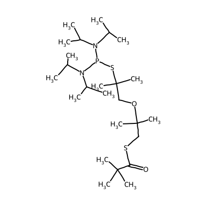 CC(C)N(C(C)C)P(SC(C)(C)COC(C)(C)CSC(=O)C(C)(C)C)N(C(C)C)C(C)C